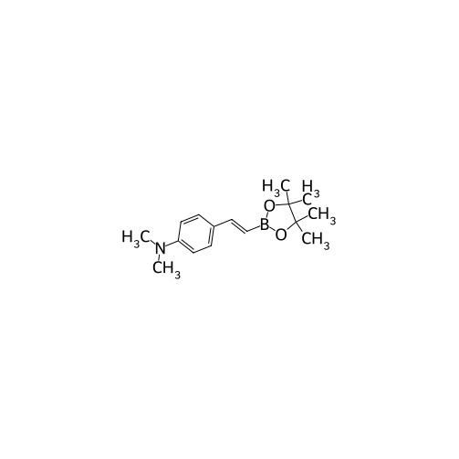 CN(C)c1ccc(C=CB2OC(C)(C)C(C)(C)O2)cc1